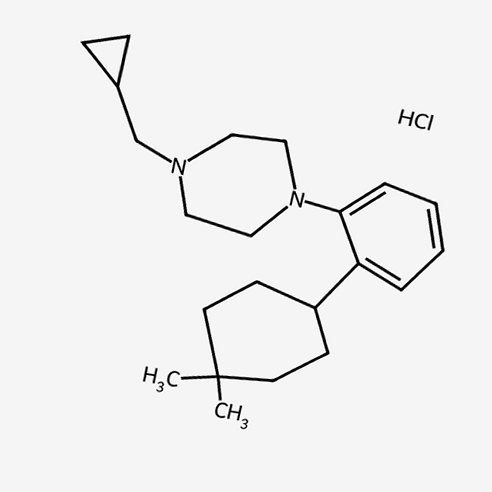 CC1(C)CCC(c2ccccc2N2CCN(CC3CC3)CC2)CC1.Cl